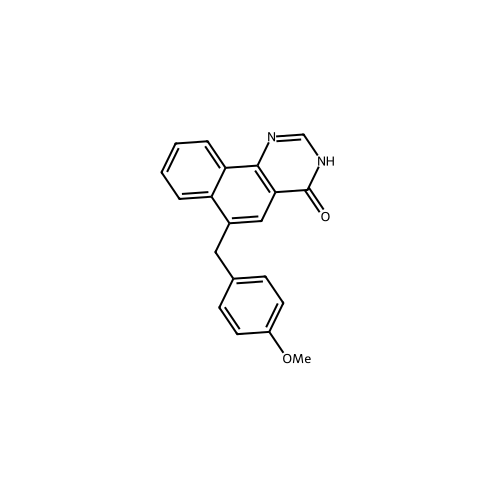 COc1ccc(Cc2cc3c(=O)[nH]cnc3c3ccccc23)cc1